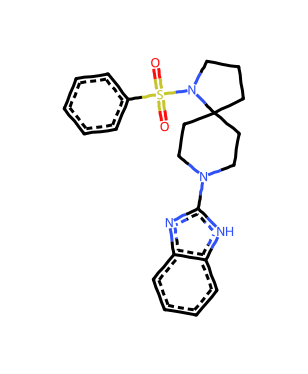 O=S(=O)(c1ccccc1)N1CCCC12CCN(c1nc3ccccc3[nH]1)CC2